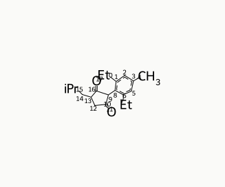 CCc1cc(C)cc(CC)c1C1C(=O)CC(CC(C)C)C1=O